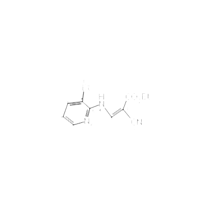 CCOC(=O)/C(C#N)=C\Nc1ncccc1CC